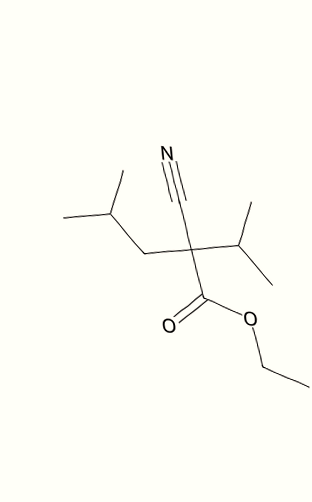 CCOC(=O)C(C#N)(CC(C)C)C(C)C